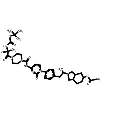 CC(Cc1ccc(-n2ccc(NC(=O)N3CCN(C(=O)C(C)(C)NC(=O)OC(C)(C)C)CC3)nc2=O)cc1)N1CC2CCC(OC(N)=O)CC2C1